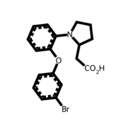 O=C(O)CC1CCCN1c1ccccc1Oc1cccc(Br)c1